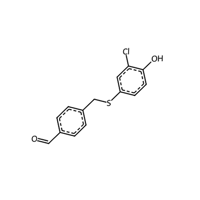 O=Cc1ccc(CSc2ccc(O)c(Cl)c2)cc1